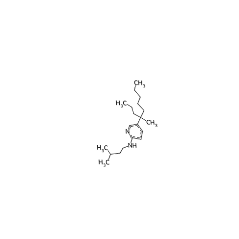 CCCCCC(C)(CCC)c1ccc(NCCC(C)C)nc1